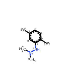 CC(C)c1ccc(C(C)C)c(NN(C)C)c1